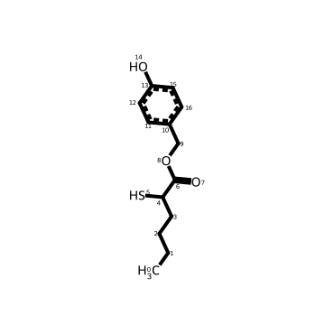 CCCCC(S)C(=O)OCc1ccc(O)cc1